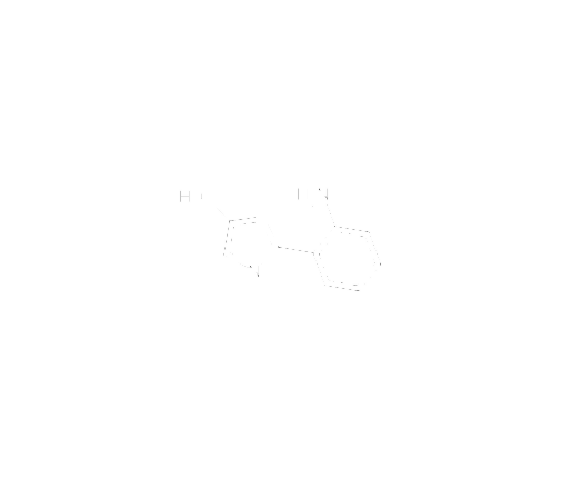 Cc1cnc(-c2ccccc2N)o1